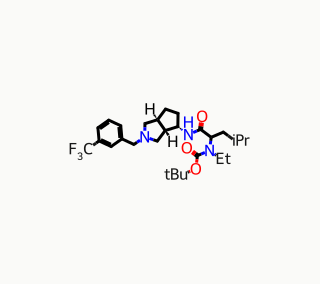 CCN(C(=O)OC(C)(C)C)C(CC(C)C)C(=O)N[C@H]1CC[C@@H]2CN(Cc3cccc(C(F)(F)F)c3)C[C@H]21